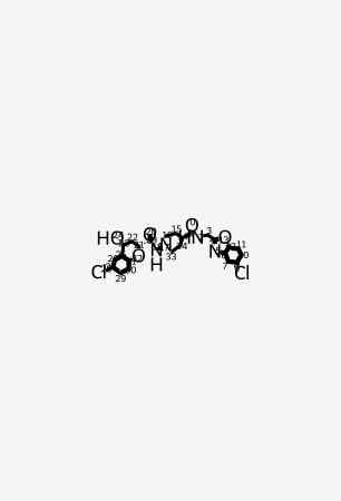 O=C(NCc1nc2cc(Cl)ccc2o1)C1CCN(NC(=O)[C@H]2C[C@@H](O)c3cc(Cl)ccc3O2)CC1